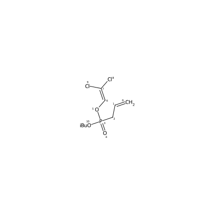 C=CCP(=O)(OC=C(Cl)Cl)OCC(C)C